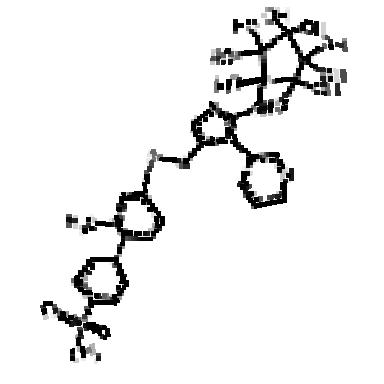 Cc1cc(OCc2cnc(SC3(O)C(O)(O)C(O)(O)C(O)(O)C3(O)O)n2-c2cccnc2)ccc1-c1ccc(S(C)(=O)=O)cc1